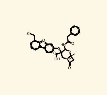 O=C(Cc1ccccc1)NC1S[C@@H]2CC(=O)N2CC1(Sc1ccc2c(c1)oc1c(CCl)cccc12)C(=O)O